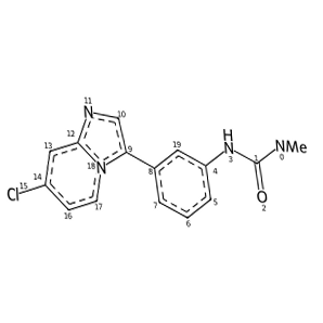 CNC(=O)Nc1cccc(-c2cnc3cc(Cl)ccn23)c1